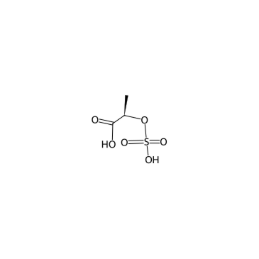 C[C@@H](OS(=O)(=O)O)C(=O)O